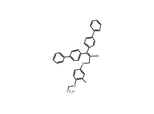 CCC(CSc1ccc(OCC(=O)O)c(C)c1)=C(c1ccc(-c2ccccc2)cc1)c1ccc(-c2ccccc2)cc1